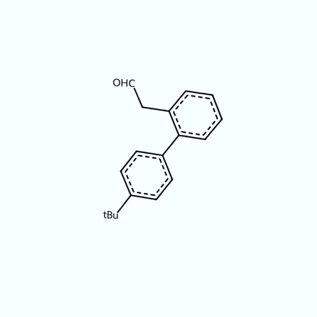 CC(C)(C)c1ccc(-c2ccccc2CC=O)cc1